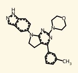 Cc1cccc(-c2nc(N3CCOCC3)nc3c2CCN3c2ccc3[nH]ncc3c2)c1